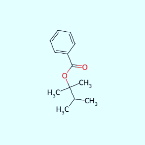 CC(C)C(C)(C)OC(=O)c1ccccc1